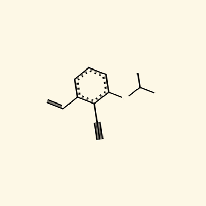 C#Cc1c([C]=C)cccc1OC(F)F